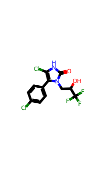 O=c1[nH]c(Cl)c(-c2ccc(Cl)cc2)n1CC(O)C(F)(F)F